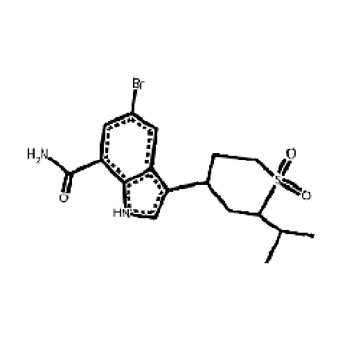 CC(C)C1CC(c2c[nH]c3c(C(N)=O)cc(Br)cc23)CCS1(=O)=O